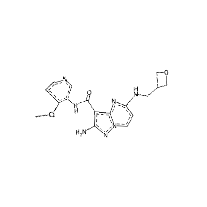 COc1ccncc1NC(=O)c1c(N)nn2ccc(NCC3COC3)nc12